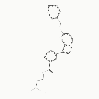 CN(C)CCNC(=O)c1cccc(-c2cnn3ccc(NCc4cccnc4)nc23)c1